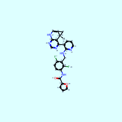 O=C(Nc1ccc(F)c(CNc2ncccc2-c2ncnc3c2[C@H]2CC2=CN3)c1F)c1ccco1